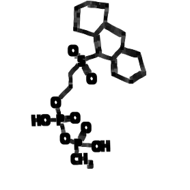 CP(=O)(O)OP(=O)(O)OCCS(=O)(=O)c1c2ccccc2cc2ccccc12